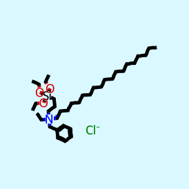 CCCCCCCCCCCCCCCCCCC[N+](CC)(CCC[Si](OCC)(OCC)OCC)Cc1ccccc1.[Cl-]